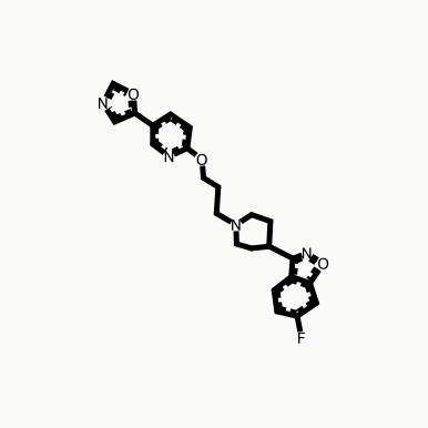 Fc1ccc2c(C3CCN(CCCOc4ccc(-c5cnco5)cn4)CC3)noc2c1